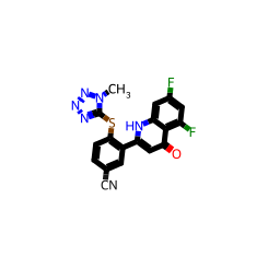 Cn1nnnc1Sc1ccc(C#N)cc1-c1cc(=O)c2c(F)cc(F)cc2[nH]1